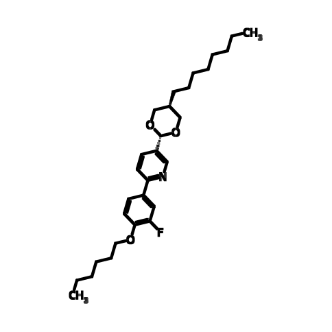 CCCCCCCC[C@H]1CO[C@H](c2ccc(-c3ccc(OCCCCCC)c(F)c3)nc2)OC1